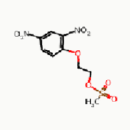 CS(=O)(=O)OCCOc1ccc([N+](=O)[O-])cc1[N+](=O)[O-]